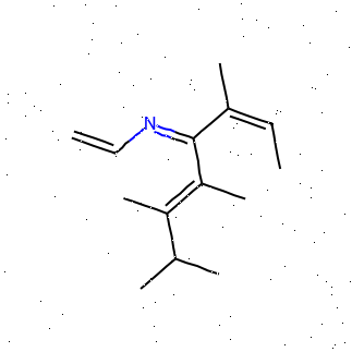 C=C/N=C(C(/C)=C\C)\C(C)=C(/C)C(C)C